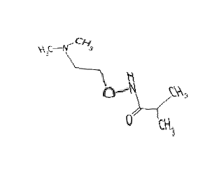 CC(C)C(=O)NOCCN(C)C